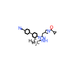 C=C1NN=C(CC2CN(C(=O)C3CC3)C2)N1c1ccc(-c2ccc(C#N)cc2)cc1C